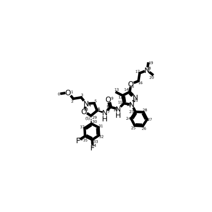 COCCN1C[C@@H](NC(=O)Nc2c(C)c(OCCN(C)C)nn2-c2ccccc2)[C@H](c2ccc(F)c(F)c2)O1